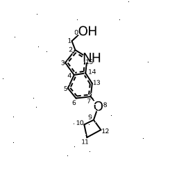 OCc1cc2ccc(OC3CCC3)cc2[nH]1